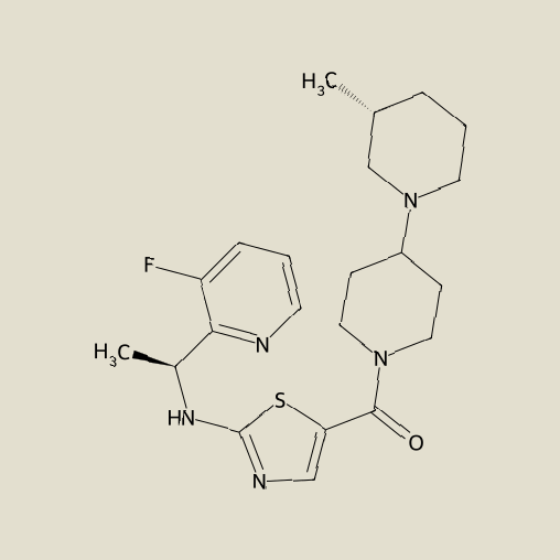 C[C@@H]1CCCN(C2CCN(C(=O)c3cnc(N[C@@H](C)c4ncccc4F)s3)CC2)C1